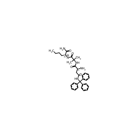 CCCC[C@H](NC(=O)C(C)(C)NC(=O)[C@@H](N)CC(=O)NC(c1ccccc1)(c1ccccc1)c1ccccc1)C(N)=O